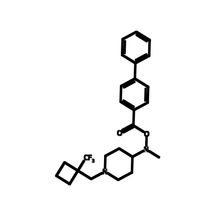 CN(OC(=O)c1ccc(-c2ccccc2)cc1)C1CCN(CC2(C(F)(F)F)CCC2)CC1